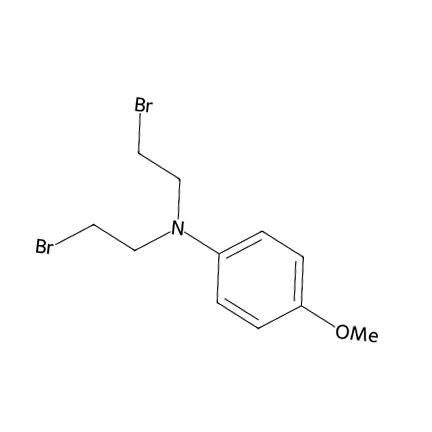 COc1ccc(N(CCBr)CCBr)cc1